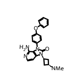 CN[C@H]1C[C@@H](n2c(=O)n(-c3ccc(Oc4ccccc4)cc3)c3c(N)nccc32)C1